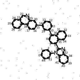 c1ccc(-n2c(-c3ccc(-c4cccc(-c5ccc6c(c5)ncc5ccccc56)c4)c4ccccc34)nc3ccccc32)cc1